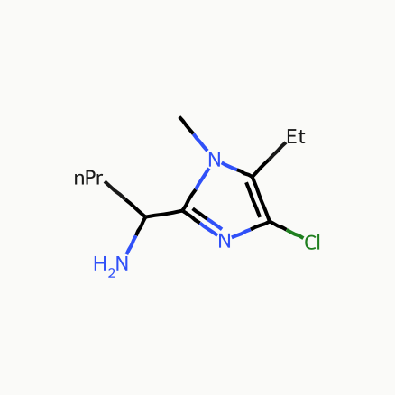 CCCC(N)c1nc(Cl)c(CC)n1C